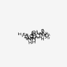 COc1cc(CNC(=O)c2cccs2)ccc1NC(=O)Nc1cnc(C)cn1